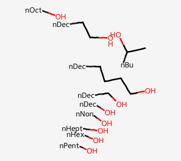 CCCCC(C)O.CCCCCCCCCCCCCCO.CCCCCCCCCCCCO.CCCCCCCCCCCO.CCCCCCCCCCO.CCCCCCCCCO.CCCCCCCCO.CCCCCCCO.CCCCCCO.CCCCCO